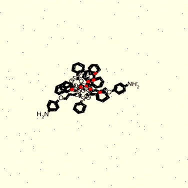 C[Si]1(CCCOc2ccc(N)cc2)O[Si]2(c3ccccc3)OC34O[Si](c5ccccc5)(O2)O[Si]2(c5ccccc5)O[Si](C)(CCCOc5ccc(N)cc5)O[Si]5(c6ccccc6)O[Si](c6ccccc6)(O[Si](c6ccccc6)(O1)O[Si]3(c1ccccc1)O5)O[Si]4(c1ccccc1)O2